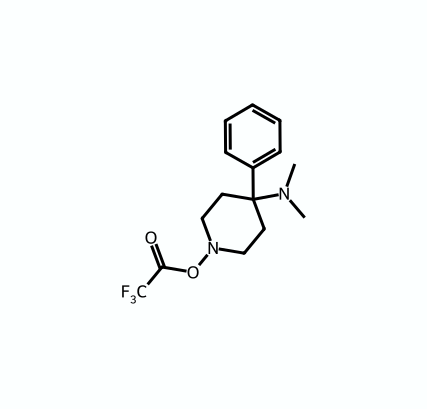 CN(C)C1(c2ccccc2)CCN(OC(=O)C(F)(F)F)CC1